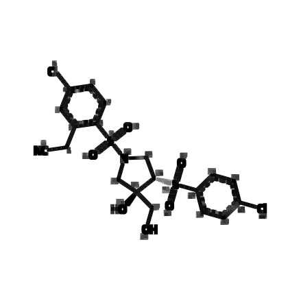 N#CCc1cc(Cl)ccc1S(=O)(=O)N1C[C@H](S(=O)(=O)c2ccc(Cl)cc2)[C@](O)(CO)C1